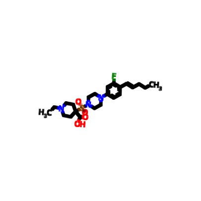 CCCC=Cc1ccc(N2CCN(S(=O)(=O)C3(C(=O)O)CCN(CC)CC3)CC2)cc1F